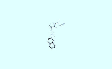 CC(C)C[C@H](CCS(=O)(=O)c1ccc2ccccc2c1)C(=O)N[C@H](C=O)CC(C)C